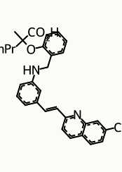 CCCC(C)(Oc1ccccc1CNc1cccc(/C=C/c2ccc3ccc(Cl)cc3n2)c1)C(=O)O